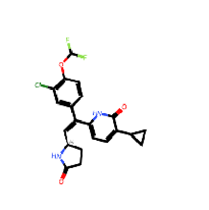 O=C1CC[C@H](C=C(c2ccc(OC(F)F)c(Cl)c2)c2ccc(C3CC3)c(=O)[nH]2)N1